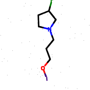 FC1CCN(CCCOI)C1